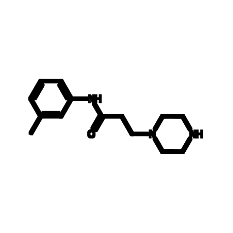 Cc1cccc(NC(=O)CCN2CCNCC2)c1